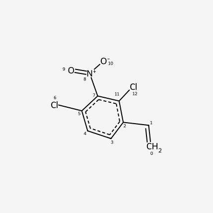 C=Cc1ccc(Cl)c([N+](=O)[O-])c1Cl